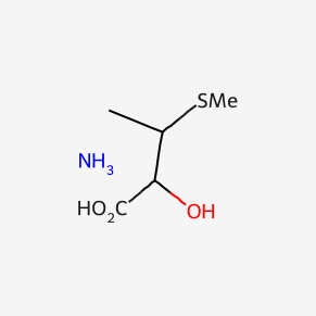 CSC(C)C(O)C(=O)O.N